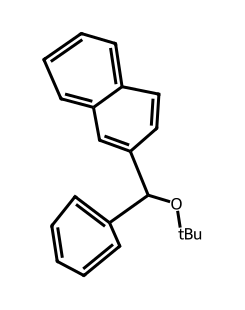 CC(C)(C)OC(c1ccccc1)c1ccc2ccccc2c1